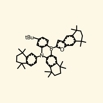 CC(C)(C)c1ccc2c(c1)N(c1ccc3c(c1)C(C)(C)CCC3(C)C)c1cc3c(cc1B2c1cc2cc4c(cc2o1)C(C)(C)CCC4(C)C)C(C)(C)CCC3(C)C